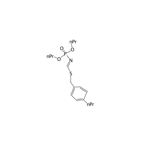 CCCOP(=O)(N=CSCc1ccc(CCC)cc1)OCCC